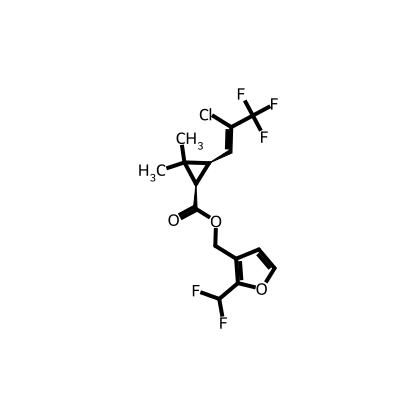 CC1(C)[C@H](C(=O)OCc2ccoc2C(F)F)[C@@H]1/C=C(\Cl)C(F)(F)F